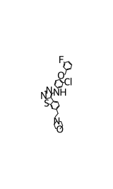 Fc1cccc(COc2ccc(Nc3ncnc4sc5cc(CCN6CCOCC6)ccc5c34)cc2Cl)c1